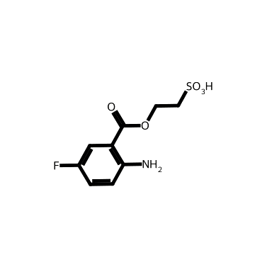 Nc1ccc(F)cc1C(=O)OCCS(=O)(=O)O